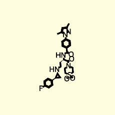 Cc1cc(C)n(-c2ccc(C(=O)N[C@@H](CCN[C@@H]3C[C@H]3c3ccc(F)cc3)C(=O)N3CCS(=O)(=O)CC3)cc2)n1